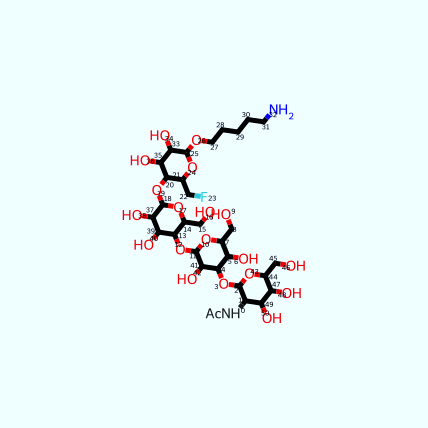 CC(=O)NC1C(OC2C(O)C(CO)OC(OC3C(CO)OC(OC4C(CF)OC(OCCCCCN)C(O)C4O)C(O)C3O)C2O)OC(CO)C(O)C1O